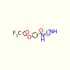 O=C(NC1CC2CC1CN2)c1ccc(Oc2cc(C(F)(F)F)co2)cc1